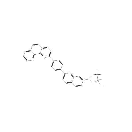 CC1(C)OB(c2ccc3ccc(-c4ccc(-c5ccc6ccc7cccnc7c6n5)cc4)nc3c2)OC1(C)C